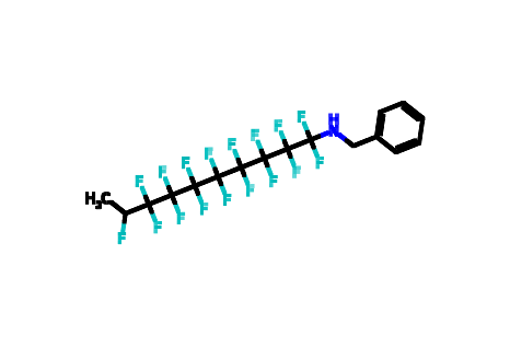 CC(F)C(F)(F)C(F)(F)C(F)(F)C(F)(F)C(F)(F)C(F)(F)C(F)(F)C(F)(F)NCc1ccccc1